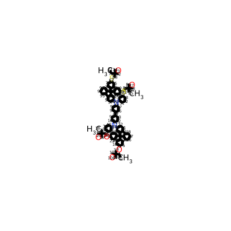 CCC1(COc2ccc(C3(c4ccc(OCC5(CC)COC5)cc4)c4ccccc4-c4ccc(N(c5ccccc5)c5ccc(-c6ccc(N(c7ccccc7)c7ccc8c(c7)C(c7ccc(SCC9(CC)COC9)cc7)(c7ccc(SCC9(CC)COC9)cc7)c7ccccc7-8)cc6)cc5)cc43)cc2)COC1